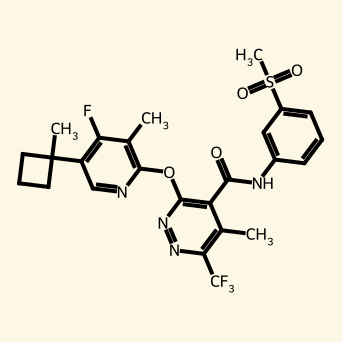 Cc1c(Oc2nnc(C(F)(F)F)c(C)c2C(=O)Nc2cccc(S(C)(=O)=O)c2)ncc(C2(C)CCC2)c1F